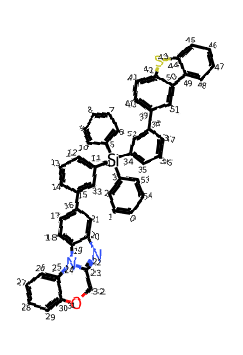 c1ccc([Si](c2ccccc2)(c2cccc(-c3ccc4c(c3)nc3n4-c4ccccc4OC3)c2)c2cccc(-c3ccc4sc5ccccc5c4c3)c2)cc1